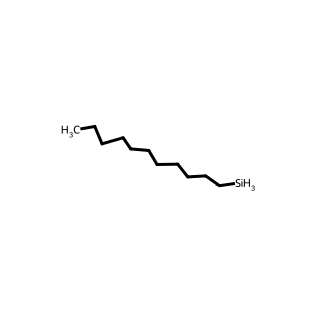 CCCCCCCCCC[CH][SiH3]